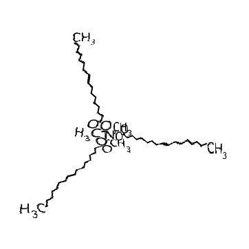 CCCCCCCCC=CCCCCCCCC(=O)OC(C)N(C(C)OC(=O)CCCCCCCC=CCCCCCCCC)C(C)OC(=O)CCCCCCCC=CCCCCCCCC